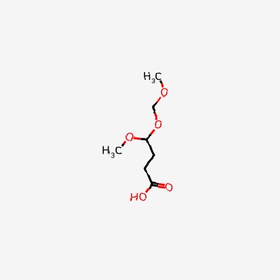 COCOC(CCC(=O)O)OC